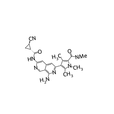 CNC(=O)c1c(C)c(-c2cc3cc(NC(=O)[C@@H]4C[C@H]4C#N)ncc3c(N)n2)c(C)n1C